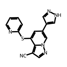 N#Cc1cnn2cc(-c3cn[nH]c3)cc(Sc3ccccn3)c12